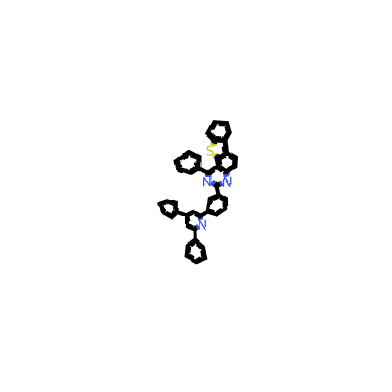 c1ccc(-c2cc(-c3ccccc3)nc(-c3cccc(-c4nc(-c5ccccc5)c5c(ccc6c7ccccc7sc65)n4)c3)c2)cc1